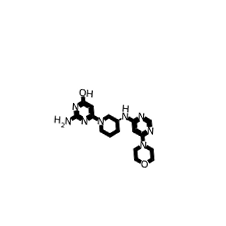 Nc1nc(O)cc(N2CCC[C@@H](Nc3cc(N4CCOCC4)ncn3)C2)n1